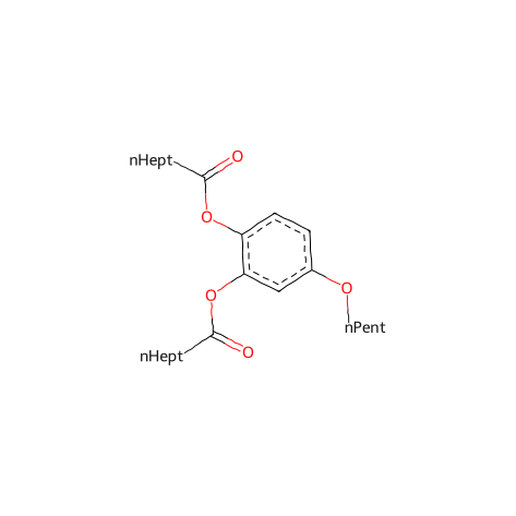 CCCCCCCC(=O)Oc1ccc(OCCCCC)cc1OC(=O)CCCCCCC